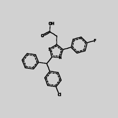 O=C(O)Cc1sc(C(c2ccccc2)c2ccc(Cl)cc2)nc1-c1ccc(F)cc1